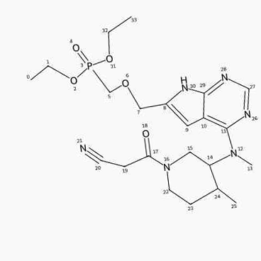 CCOP(=O)(COCc1cc2c(N(C)C3CN(C(=O)CC#N)CCC3C)ncnc2[nH]1)OCC